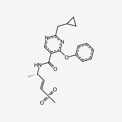 C[C@@H](/C=C/S(C)(=O)=O)NC(=O)c1cnc(CC2CC2)nc1Oc1ccccc1